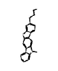 CCCCc1ccc2c(c1)sc1cc3c4ccccc4n(C)c3cc12